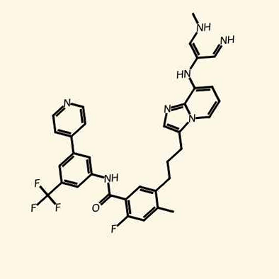 CN/C=C(\C=N)Nc1cccn2c(CCCc3cc(C(=O)Nc4cc(-c5ccncc5)cc(C(F)(F)F)c4)c(F)cc3C)cnc12